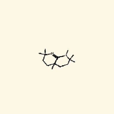 CN1C2=NC(C)(C)CCC2(C)CCC1(C)C